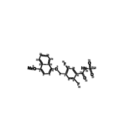 COc1ccc(OCc2cc(F)c(C(=O)NS(C)(=O)=O)cc2F)c2ccccc12